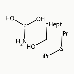 CC(C)SC(C)C.CCCCCCCCO.NP(O)O